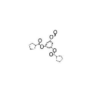 O=COc1cc(OC(=O)C2CCCC2)cc(OC(=O)C2CCCC2)c1